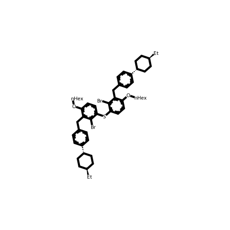 CCCCCCOc1ccc(Sc2ccc(OCCCCCC)c(Cc3ccc([C@H]4CC[C@H](CC)CC4)cc3)c2Br)c(Br)c1Cc1ccc([C@H]2CC[C@H](CC)CC2)cc1